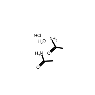 CC(N)=O.CC(N)=O.Cl.O